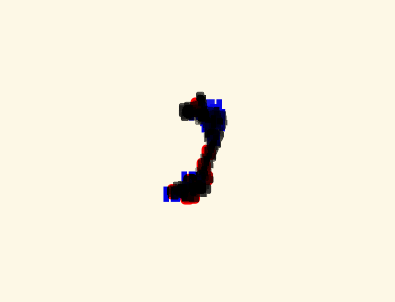 C=CC(=O)Nc1cc(-c2nn(C3CCN(CCCOCCCOCCC(=O)Nc4cccc5c4C(=O)N(C4CCC(=O)NC4=O)C5=O)CC3)c3ncnc(N)c23)ccc1Oc1ccccc1